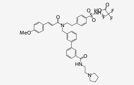 COc1ccc(C=CC(=O)N(CCc2ccc(S(N)(=O)=O)cc2)Cc2cccc(-c3cccc(C(=O)NCCN4CCCC4)c3)c2)cc1.O=C(O)C(F)(F)F